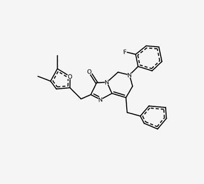 Cc1cc(CC2=NC3=C(Cc4ccccc4)CN(c4ccccc4F)CN3C2=O)oc1C